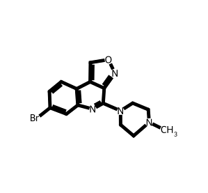 CN1CCN(c2nc3cc(Br)ccc3c3conc23)CC1